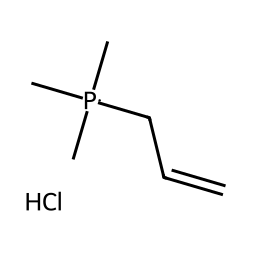 C=CC[P](C)(C)C.Cl